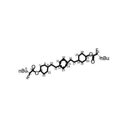 CCCC[C@@H](F)C(=O)OC1CCC(CCc2ccc(CCC3CCC(OC(=O)[C@H](F)CCCC)CC3)cc2)CC1